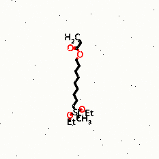 C=CC(=O)OCCCCCCCCC[Si](C)(OCC)OCC